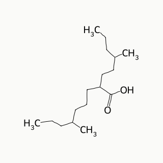 CCCC(C)CCCC(CCC(C)CCC)C(=O)O